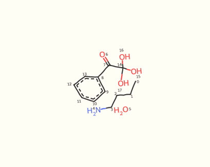 CCCCN.O.O=C(c1ccccc1)C(O)(O)O